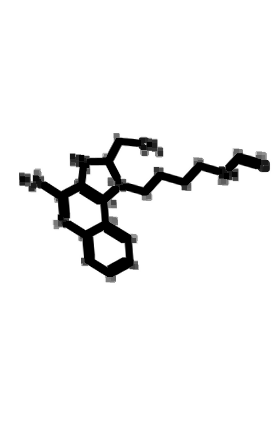 CCC1Nc2c(N)nc3ccccc3c2N1CCCCNC=O